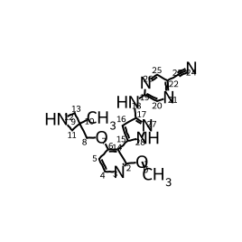 COc1nccc(OCC2(C)CNC2)c1-c1cc(Nc2cnc(C#N)cn2)n[nH]1